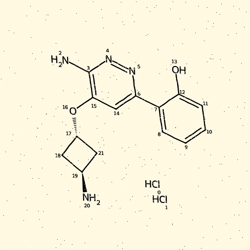 Cl.Cl.Nc1nnc(-c2ccccc2O)cc1O[C@H]1C[C@H](N)C1